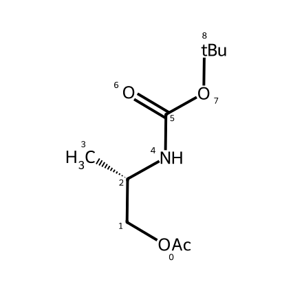 CC(=O)OC[C@H](C)NC(=O)OC(C)(C)C